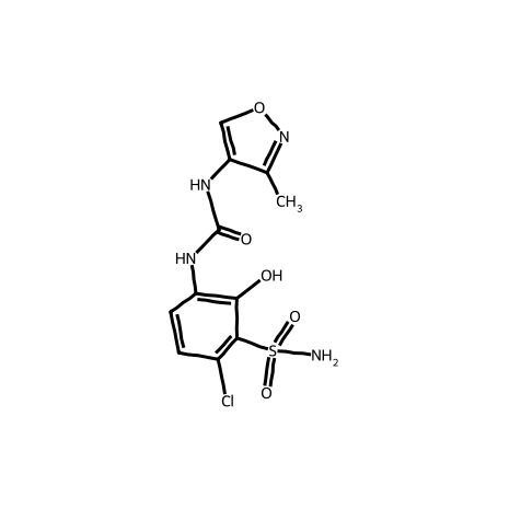 Cc1nocc1NC(=O)Nc1ccc(Cl)c(S(N)(=O)=O)c1O